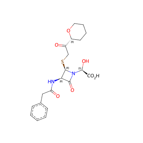 O=C(Cc1ccccc1)N[C@@H]1C(=O)N([C@@H](O)C(=O)O)[C@@H]1SCC(=O)[C@H]1CCCCO1